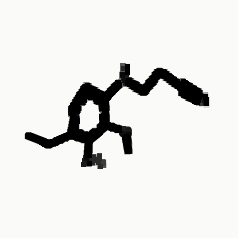 CCc1ccc(NCCC#N)c(OC)c1N